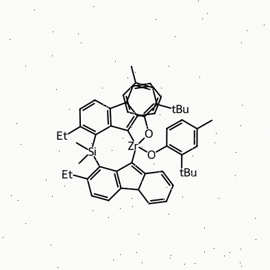 CCc1ccc2c3c1[Si](C)(C)c1c(CC)ccc4c1[C](=C1C=CC=CC14)[Zr]([O]c1ccc(C)cc1C(C)(C)C)([O]c1ccc(C)cc1C(C)(C)C)[C]3=C1C=CC=CC12